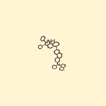 c1ccc(-c2[nH]c3c(ccc4c(-c5ccc6c(ccc7cc(N(c8ccccc8)c8cccc9ccccc89)ccc76)c5)cccc43)c2-c2ccccc2)cc1